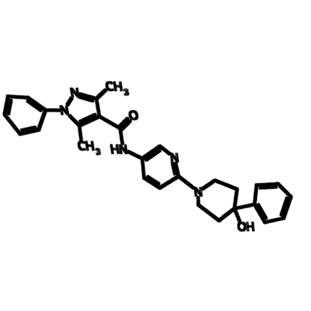 Cc1nn(-c2ccccc2)c(C)c1C(=O)Nc1ccc(N2CCC(O)(c3ccccc3)CC2)nc1